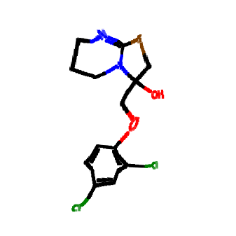 OC1(COc2ccc(Cl)cc2Cl)CSC2=NCCCN21